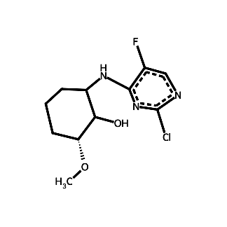 CO[C@@H]1CCCC(Nc2nc(Cl)ncc2F)C1O